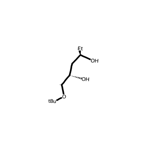 [CH2]C[C@@H](O)C[C@H](O)[CH]OC(C)(C)C